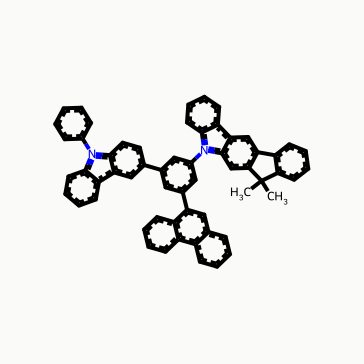 CC1(C)c2ccccc2-c2cc3c4ccccc4n(-c4cc(-c5ccc6c(c5)c5ccccc5n6-c5ccccc5)cc(-c5cc6ccccc6c6ccccc56)c4)c3cc21